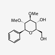 CO[C@@H]1[C@@H](OC)[C@H](O)[C@@H](CO)O[C@H]1c1ccccc1